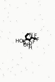 OB(O)c1ccnc(C(F)(F)F)c1O